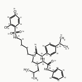 CC(C)C[C@@H](CN(CCCCNS(=O)(=O)c1ccc(Cl)cc1Cl)C(=S)Nc1ccc(N(C)C)cc1)NC(=O)Nc1ccccc1